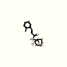 Cc1ccccc1/C=C/C(=O)N[C@@H]1CN2CCC1CC2